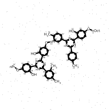 CCCCCCCCOc1ccc(-c2nc(-c3ccc(C)cc3)nc(-c3ccc(C)cc3)n2)c(O)c1.CCCOc1ccc(-c2nc(-c3ccc(C)cc3C)nc(-c3ccc(OCCC)cc3O)n2)c(O)c1